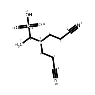 CC(P(CCC#N)CCC#N)S(=O)(=O)O